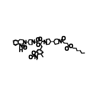 CCCCCCOC(=O)CCC(=O)N1CCC(C2CCN(C(=O)[C@@H](Cc3cc(C)c4c(c3)oc(=O)n4C)OC(=O)N3CCC(N4CCc5ccccc5NC4=O)CC3)CC2)CC1